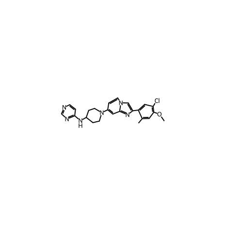 COc1cc(C)c(-c2cn3ccc(N4CCC(Nc5ccncn5)CC4)cc3n2)cc1Cl